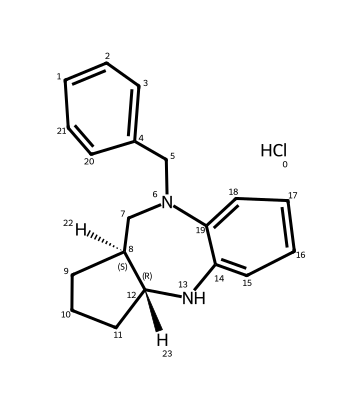 Cl.c1ccc(CN2C[C@@H]3CCC[C@H]3Nc3ccccc32)cc1